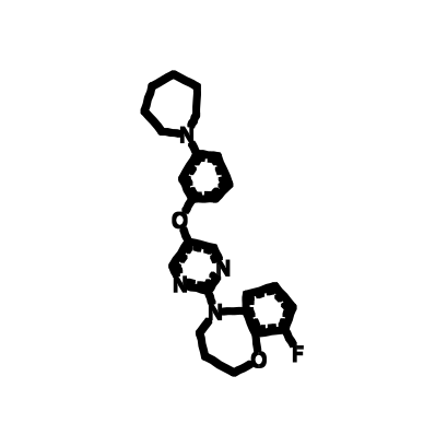 Fc1cccc2c1OCCCN2c1ncc(Oc2cccc(N3CCCCCC3)c2)cn1